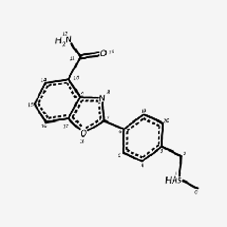 C[AsH]Cc1ccc(-c2nc3c(C(N)=O)cccc3o2)cc1